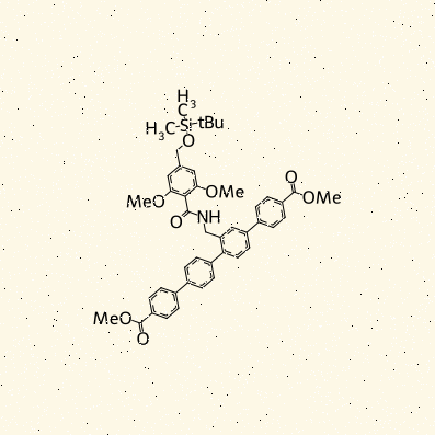 COC(=O)c1ccc(-c2ccc(-c3ccc(-c4ccc(C(=O)OC)cc4)cc3CNC(=O)c3c(OC)cc(CO[Si](C)(C)C(C)(C)C)cc3OC)cc2)cc1